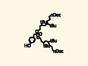 CCCCCCCCCCCCCC(CC(CCOP(=O)(Cc1ccc(O)cc1)OCCC(CC(CCCCCCCCCCCCC)C(C)(C)C)C(C)(C)C)C(C)(C)C)C(C)(C)C